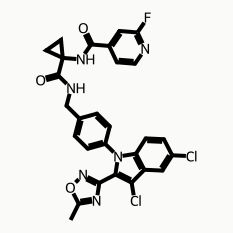 Cc1nc(-c2c(Cl)c3cc(Cl)ccc3n2-c2ccc(CNC(=O)C3(NC(=O)c4ccnc(F)c4)CC3)cc2)no1